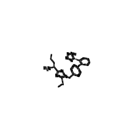 CCCC(N)c1nc(CC)n(Cc2ccc(-c3ccccc3-c3nnn[nH]3)cc2)n1